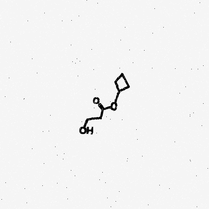 O=C(CCO)OC1CCC1